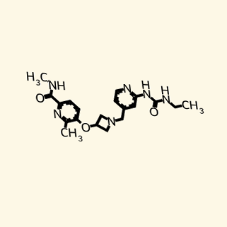 CCNC(=O)Nc1cc(CN2CC(Oc3ccc(C(=O)NC)nc3C)C2)ccn1